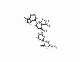 Cn1ccc2c(-c3ncc(Nc4cccc(N5C[C@@H](N)CC5=O)n4)c4c3CNC4=O)ccnc21